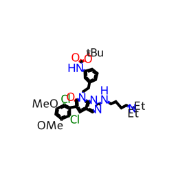 CCN(CC)CCCCNc1ncc2cc(-c3c(Cl)c(OC)cc(OC)c3Cl)c(=O)n(CCc3cccc(NC(=O)OC(C)(C)C)c3)c2n1